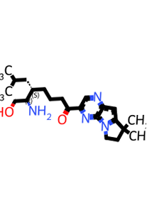 CC(C)C[C@H](CCCC(=O)c1cnc2cc3n(c2n1)CCC3(C)C)[C@@H](N)CO